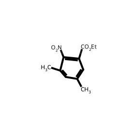 CCOC(=O)c1cc(C)cc(C)c1[N+](=O)[O-]